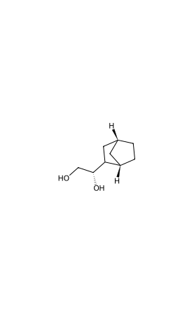 OC[C@@H](O)C1C[C@@H]2CC[C@H]1C2